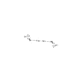 O=C(NCCCCNC(=O)NCCOCCOCCNS(=O)(=O)c1ccc(O[C@H]2c3cc(Cl)cc(F)c3CC2N2CCCCC2)cc1)NCCOCCOCCNS(=O)(=O)c1ccc(O[C@H]2c3cc(Cl)cc(F)c3CC2N2CCCCC2)cc1